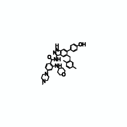 Cc1ccc(C)c(Cc2cc3c(NC(=O)c4ccc(N5CCN(C)CC5)cc4NC4CCOCC4)n[nH]c3cc2-c2ccc(O)cc2)c1